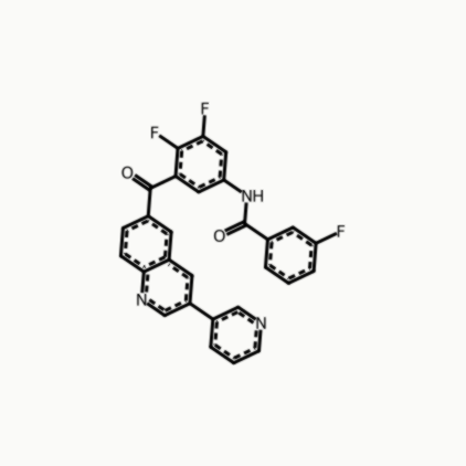 O=C(Nc1cc(F)c(F)c(C(=O)c2ccc3ncc(-c4cccnc4)cc3c2)c1)c1cccc(F)c1